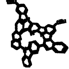 CC(C)(C)c1ccc2c(c1)c1cc3ccccc3c3c4nc5c(cc4n2c13)c1cc(C(C)(C)C)cc2c3c4ccccc4cc(-c4ccc6c(c4)c4ccccc4n6-c4ccccc4)c3n5c12